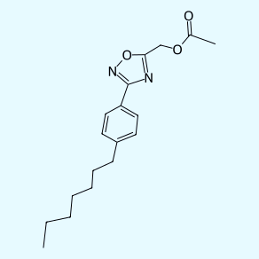 CCCCCCCc1ccc(-c2noc(COC(C)=O)n2)cc1